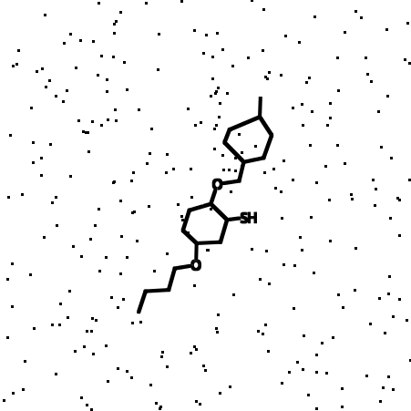 CCCCOC1CCC(OCC2CCC(C)CC2)C(S)C1